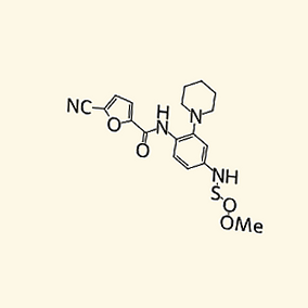 COOSNc1ccc(NC(=O)c2ccc(C#N)o2)c(N2CCCCC2)c1